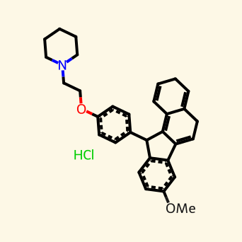 COc1ccc2c(c1)C1=CCC3=CCC=CC3=C1C2c1ccc(OCCN2CCCCC2)cc1.Cl